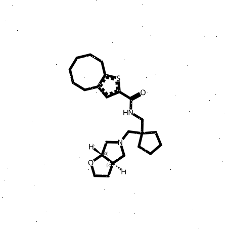 O=C(NCC1(CN2C[C@H]3CCO[C@@H]3C2)CCCC1)c1cc2c(s1)CCCCCC2